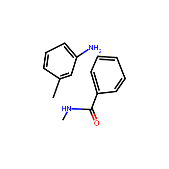 CNC(=O)c1ccccc1.Cc1cccc(N)c1